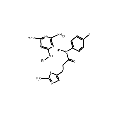 CC(C)N(C(=O)COc1nnc(C(F)(F)F)s1)c1ccc(F)cc1.CCNc1nc(NC(C)C)nc(SC)n1